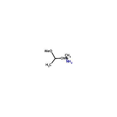 CN.COC(C)OC